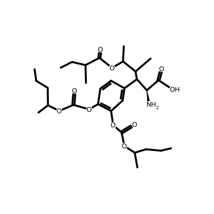 CCCC(C)OC(=O)Oc1ccc(C(C(C)C(C)OC(=O)C(C)CC)[C@H](N)C(=O)O)cc1OC(=O)OC(C)CCC